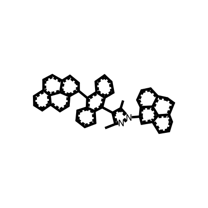 Cc1nn(-c2cc3cccc4ccc5cccc2c5c43)c(C)c1-c1c2ccccc2c(-c2ccc3ccc4cccc5ccc2c3c45)c2ccccc12